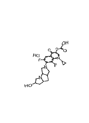 Cl.O=C(O)Oc1cn(C2CC2)c2c(F)c(N3CC4CC5CC(O)CN5C4C3)c(F)cc2c1=O